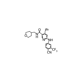 CC(C)c1cc(Nc2ccc(C#N)c(C(F)(F)F)c2)ncc1C(=O)NCC1CCOCC1